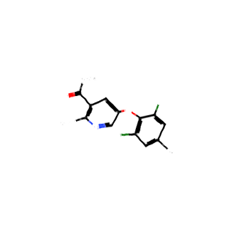 CNC(=O)c1cc(Oc2c(Cl)cc([N+](=O)[O-])cc2Cl)cnc1OC